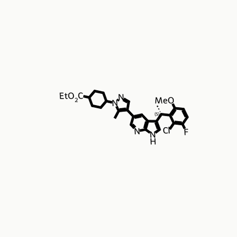 CCOC(=O)C1CCC(n2ncc(-c3cnc4[nH]cc([C@H](C)c5c(OC)ccc(F)c5Cl)c4c3)c2C)CC1